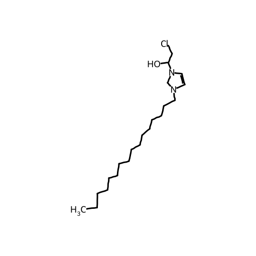 CCCCCCCCCCCCCCCCN1C=CN(C(O)CCl)C1